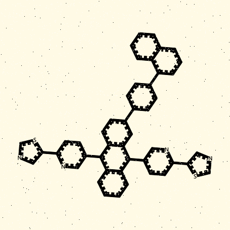 c1ccc2c(-c3ccc(-c4ccc5c(-c6ccc(-c7cncs7)nc6)c6ccccc6c(-c6ccc(-c7cncs7)nc6)c5c4)cc3)cccc2c1